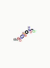 CC(C)(C)OC(=O)N1CCN(S(=O)(=O)c2ccc(NC(=O)/C=C\Cl)cc2)CC1